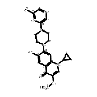 O=C(O)Oc1cn(C2CC2)c2cc(N3CCN(c4cncc(Cl)n4)CC3)c(F)cc2c1=O